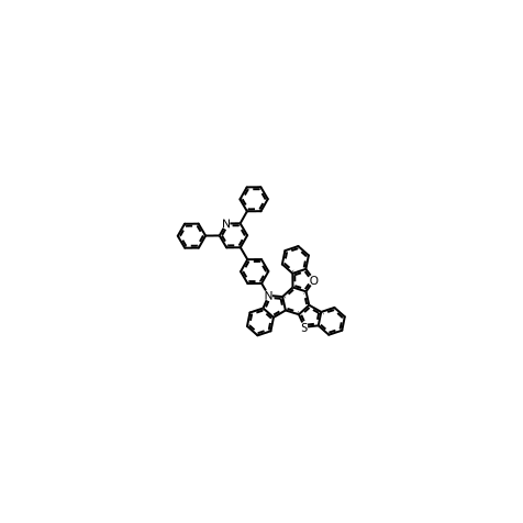 c1ccc(-c2cc(-c3ccc(-n4c5ccccc5c5c6sc7ccccc7c6c6oc7ccccc7c6c54)cc3)cc(-c3ccccc3)n2)cc1